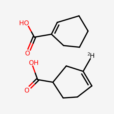 O=C(O)C1=CCCCC1.[2H]C1=CCCC(C(=O)O)C1